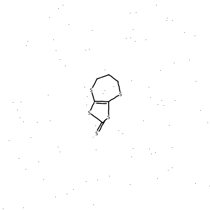 S=c1sc2c(s1)SCCCS2